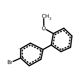 COc1ccccc1-c1c[c]c(Br)cc1